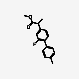 COC(=O)C(C)c1ccc(-c2ccc(C)cc2)c(F)c1